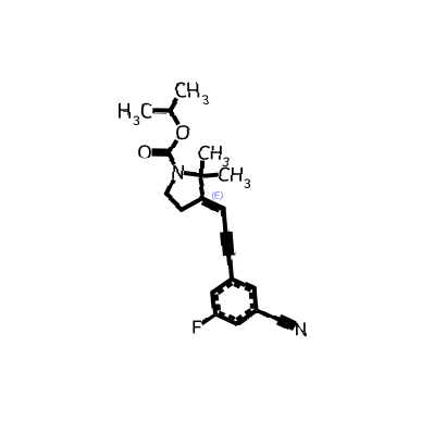 CC(C)OC(=O)N1CC/C(=C\C#Cc2cc(F)cc(C#N)c2)C1(C)C